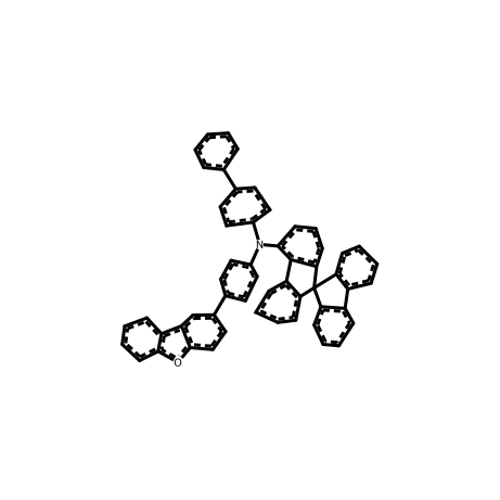 c1ccc(-c2ccc(N(c3ccc(-c4ccc5oc6ccccc6c5c4)cc3)c3cccc4c3-c3ccccc3C43c4ccccc4-c4ccccc43)cc2)cc1